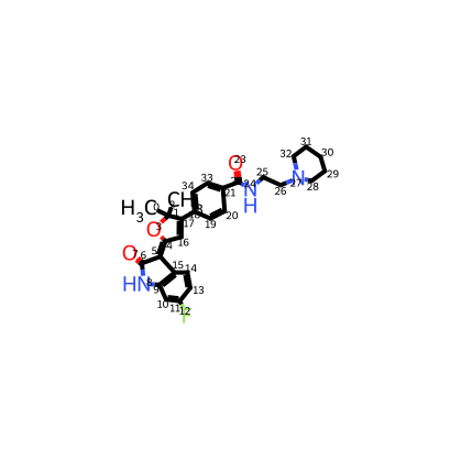 CC1(C)OC(=C2C(=O)Nc3cc(F)ccc32)C=C1c1ccc(C(=O)NCCN2CCCCC2)cc1